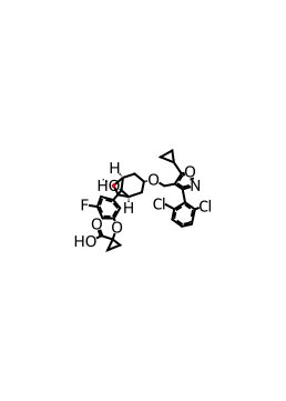 C[C@H]1C[C@@H]2C[C@@H](OCc3c(-c4c(Cl)cccc4Cl)noc3C3CC3)C[C@H]1[C@]2(O)c1cc(F)cc(OC2(C(=O)O)CC2)c1